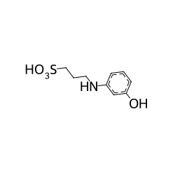 O=S(=O)(O)CCCNc1cccc(O)c1